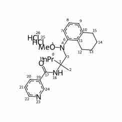 CCCC(C)(CN(OC)c1cccc2c1CCCC2)NC(=O)c1cccnc1.Cl.Cl